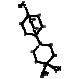 CCCC12CCC([C@H]3CC[C@@](C#N)(CCC)CC3)(CC1)CC2